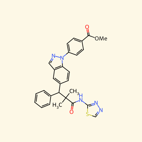 COC(=O)c1ccc(-n2ncc3cc(C(c4ccccc4)C(C)(C)C(=O)Nc4nncs4)ccc32)cc1